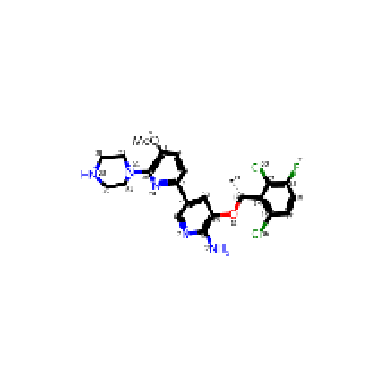 COc1ccc(-c2cnc(N)c(O[C@H](C)c3c(Cl)ccc(F)c3Cl)c2)nc1N1CCNCC1